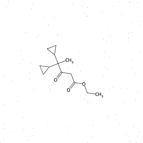 CCOC(=O)CC(=O)C(C)(C1CC1)C1CC1